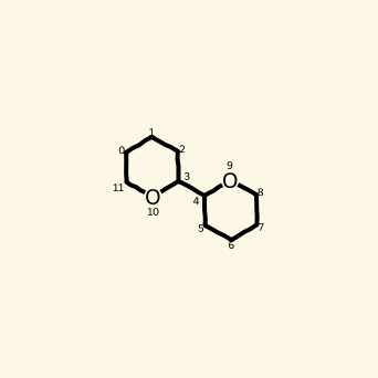 C1CCC(C2CCCCO2)OC1